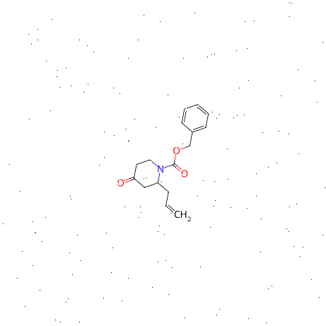 C=CCC1CC(=O)CCN1C(=O)OCc1ccccc1